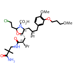 COCCCOc1cc(C[C@H](C[C@H]2[C@H](C[C@H](C(=O)NCC(C)(C)C(N)=O)C(C)C)OC(CCCl)N2C(=O)O)C(C)C)ccc1OC